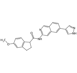 COc1ccc2c(c1)CCC2C(=O)Nc1cc2cc(-c3cn[nH]c3)ccc2cn1